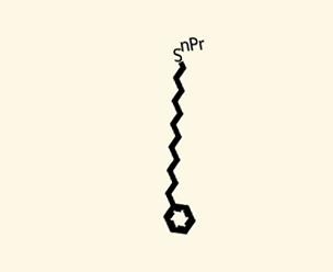 CCCSCCCCCCCCCCCCc1ccccc1